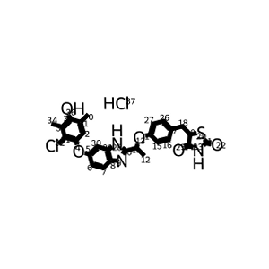 Cc1cc(Oc2ccc3nc(C(C)Oc4ccc(CC5SC(=O)NC5=O)cc4)[nH]c3c2)c(Cl)c(C)c1O.Cl